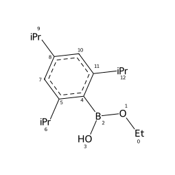 CCOB(O)c1c(C(C)C)cc(C(C)C)cc1C(C)C